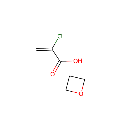 C1COC1.C=C(Cl)C(=O)O